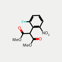 COC(=O)C(C(=O)OC)c1c(F)cccc1[N+](=O)[O-]